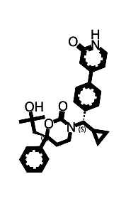 CC(C)(O)C[C@]1(c2ccccc2)CCN([C@H](c2ccc(-c3cc[nH]c(=O)c3)cc2)C2CC2)C(=O)O1